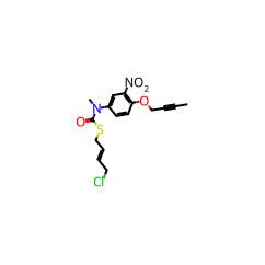 CC#CCOc1ccc(N(C)C(=O)SCC=CCCl)cc1[N+](=O)[O-]